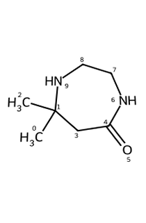 CC1(C)CC(=O)NCCN1